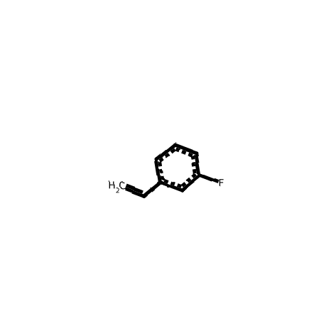 C=Cc1c[c]cc(F)c1